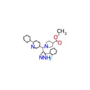 CCOC(=O)C1CCN(C(c2ccc(-c3ccccc3)nc2)c2cn[nH]c2-c2ccccc2F)CC1